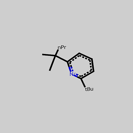 CCCC(C)(C)c1cccc(C(C)(C)C)n1